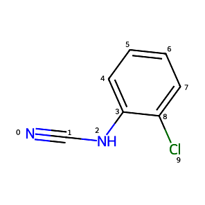 N#CNc1ccccc1Cl